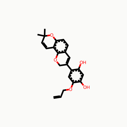 C=CCOc1cc(C2=Cc3ccc4c(c3OC2)C=CC(C)(C)O4)c(O)cc1O